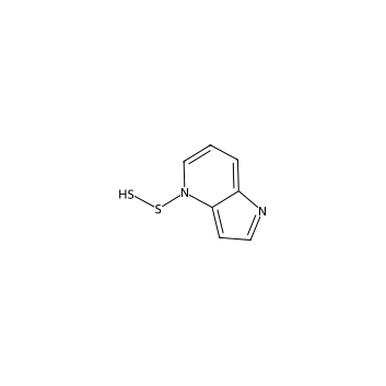 SSn1cccc2nccc1-2